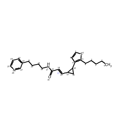 CCCCCc1sccc1C1CC1/C=C/C(=O)NCCCCc1cccnc1